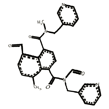 Cc1ccc(C=O)c2c(C(=O)N(C)Cc3cccnc3)ccc(C(=O)N(C=O)Cc3cccnc3)c12